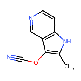 Cc1[nH]c2ccncc2c1OC#N